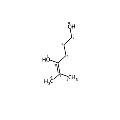 CC(C)=C(O)CCCO